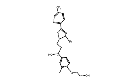 Cc1cc([C@@H](O)CCC2SC(c3ccc(C(F)(F)F)cc3)=NC2C(C)C)ccc1OCCO